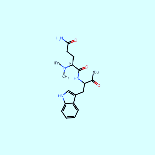 CC(C)N(C)[C@@H](CCC(N)=O)C(=O)NC(Cc1c[nH]c2ccccc12)C(=O)C(C)(C)C